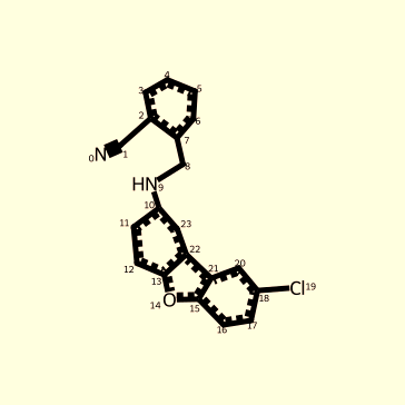 N#Cc1ccccc1CNc1ccc2oc3ccc(Cl)cc3c2c1